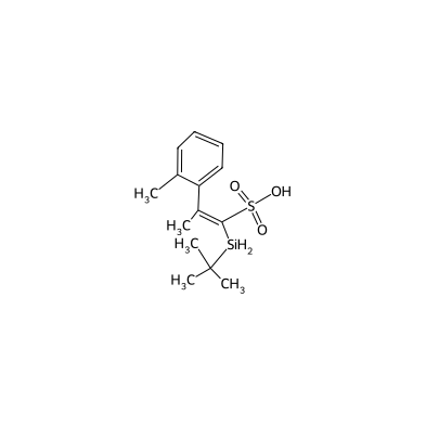 CC(=C([SiH2]C(C)(C)C)S(=O)(=O)O)c1ccccc1C